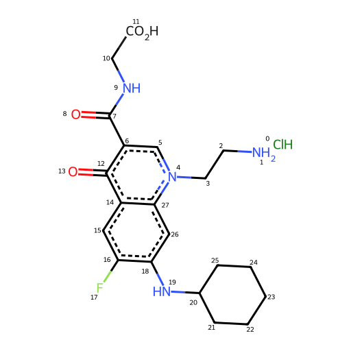 Cl.NCCn1cc(C(=O)NCC(=O)O)c(=O)c2cc(F)c(NC3CCCCC3)cc21